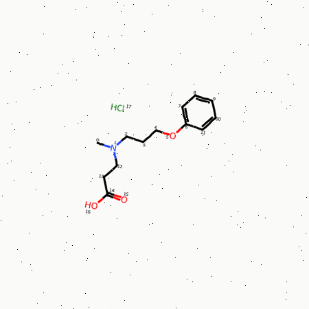 CN(CCCOc1ccccc1)CCC(=O)O.Cl